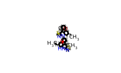 CC[C@@H]1CC(=O)C2C(C1)N(c1ccc([C@@]3(CC)C4=C(C[C@@H](CC)CC4=O)Nc4ncsc43)cc1)c1ncsc1[C@@]2(CC)C1=CC=CCC1